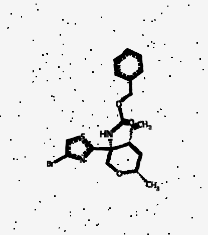 C=C[C@@H]1C[C@H](C)OC[C@@]1(NC(=O)OCc1ccccc1)c1nc(Br)cs1